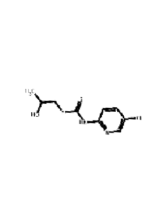 CC(O)CSC(=S)Nc1ccc(Cl)cn1